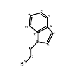 BrCCC1C=Cc2[c]cccc21